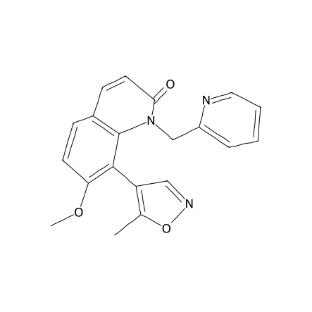 COc1ccc2ccc(=O)n(Cc3ccccn3)c2c1-c1cnoc1C